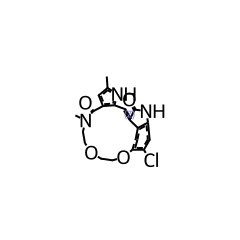 Cc1cc2c([nH]1)/C=C1\C(=O)Nc3cc(Cl)c(cc31)OCCOCCN(C)C2=O